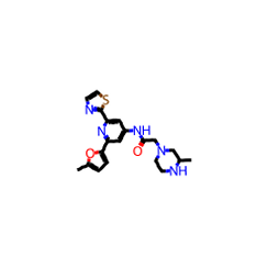 Cc1ccc(-c2cc(NC(=O)CN3CCNC(C)C3)cc(-c3nccs3)n2)o1